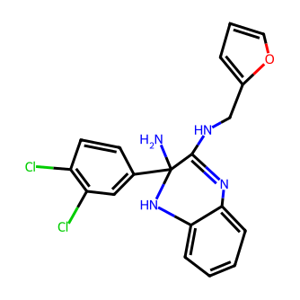 NC1(c2ccc(Cl)c(Cl)c2)Nc2ccccc2N=C1NCc1ccco1